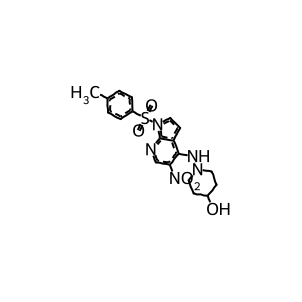 Cc1ccc(S(=O)(=O)n2ccc3c(NN4CCC(O)CC4)c([N+](=O)[O-])cnc32)cc1